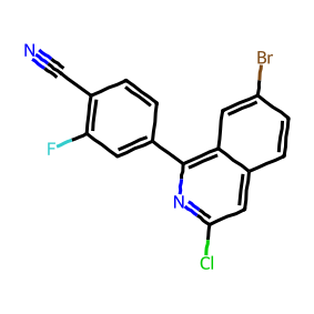 N#Cc1ccc(-c2nc(Cl)cc3ccc(Br)cc23)cc1F